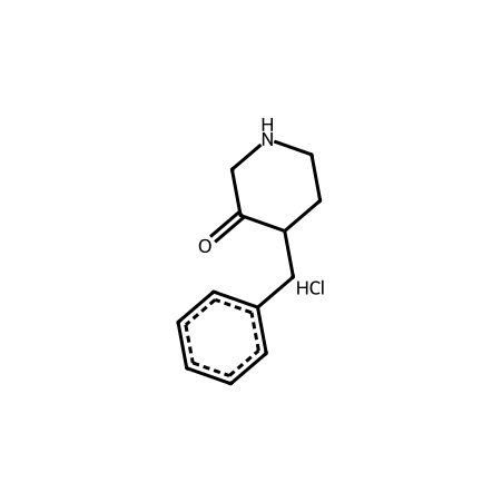 Cl.O=C1CNCCC1Cc1ccccc1